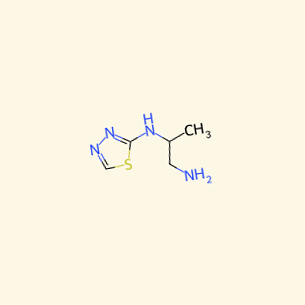 CC(CN)Nc1nncs1